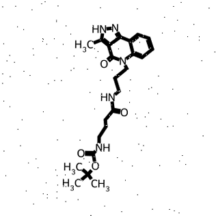 Cc1[nH]nc2c1c(=O)n(CCCNC(=O)CCCNC(=O)OC(C)(C)C)c1ccccc21